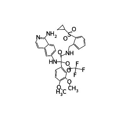 COc1ccc(C(Nc2ccc3c(N)nccc3c2)(OC(=O)C(F)(F)F)C(=O)NCc2ccccc2S(=O)(=O)C2CC2)cc1OC